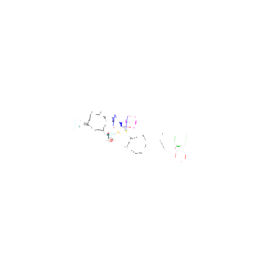 O=C(Cl)C=Cc1cccc(S(=O)(=O)Nc2ccc(F)cc2F)c1